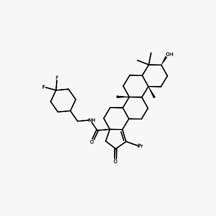 CC(C)C1=C2C3CCC4[C@@](C)(CCC5C(C)(C)[C@@H](O)CC[C@@]54C)C3CCC2(C(=O)NCC2CCC(F)(F)CC2)CC1=O